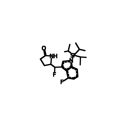 CC(C)[Si](C(C)C)(C(C)C)n1cc(C(F)C2CCC(=O)N2)c2c(F)cccc21